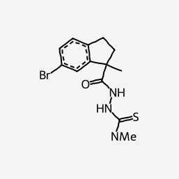 CNC(=S)NNC(=O)C1(C)CCc2ccc(Br)cc21